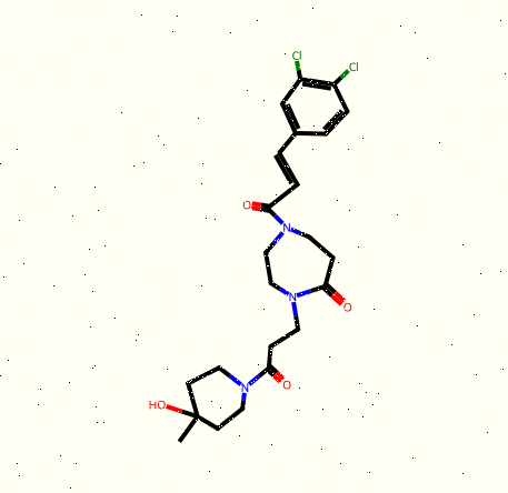 CC1(O)CCN(C(=O)CCN2CCN(C(=O)C=Cc3ccc(Cl)c(Cl)c3)CCC2=O)CC1